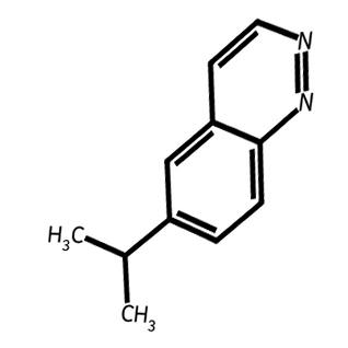 CC(C)c1ccc2nnccc2c1